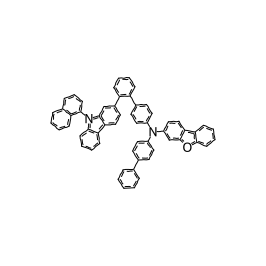 c1ccc(-c2ccc(N(c3ccc(-c4ccccc4-c4ccc5c6ccccc6n(-c6cccc7ccccc67)c5c4)cc3)c3ccc4c(c3)oc3ccccc34)cc2)cc1